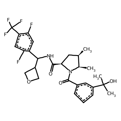 C[C@@H]1C[C@H](C(=O)NC(c2cc(F)c(C(F)(F)F)cc2F)C2COC2)N(C(=O)c2cccc(C(C)(C)O)c2)[C@@H]1C